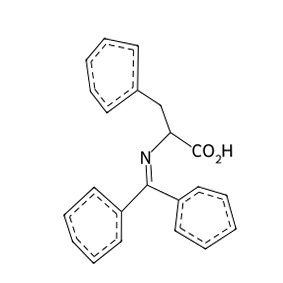 O=C(O)C(Cc1ccccc1)N=C(c1ccccc1)c1ccccc1